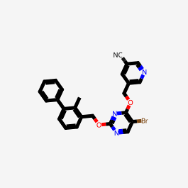 Cc1c(COc2ncc(Br)c(OCc3cncc(C#N)c3)n2)cccc1-c1ccccc1